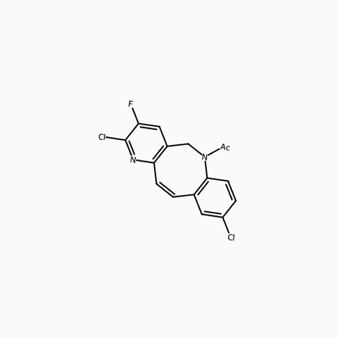 CC(=O)N1Cc2cc(F)c(Cl)nc2C=Cc2cc(Cl)ccc21